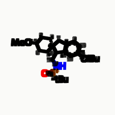 CO[C@H]1CC[C@]2(CC1)Cc1ccc(OCC(C)C)cc1C2CN[S+]([O-])C(C)(C)C